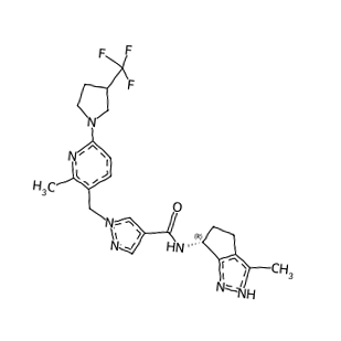 Cc1nc(N2CCC(C(F)(F)F)C2)ccc1Cn1cc(C(=O)N[C@@H]2CCc3c2n[nH]c3C)cn1